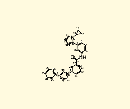 O=C(Nc1cccc(-c2nncn2C2CC2)c1)c1cc(-n2cnc(-c3ccccc3)c2)ccn1